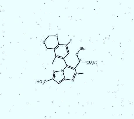 CCOC(=O)[C@@H](OC(C)(C)C)c1c(C)nc2cc(C(=O)O)nn2c1-c1cc(F)c2c(c1C)CCCO2